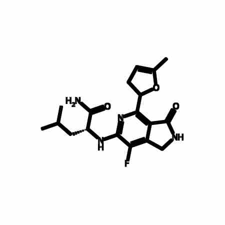 CC1=CCC(c2nc(N[C@H](CC(C)C)C(N)=O)c(F)c3c2C(=O)NC3)O1